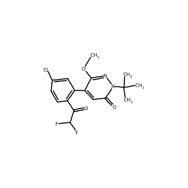 COc1nn(C(C)(C)C)c(=O)cc1-c1cc(Cl)ccc1C(=O)C(F)F